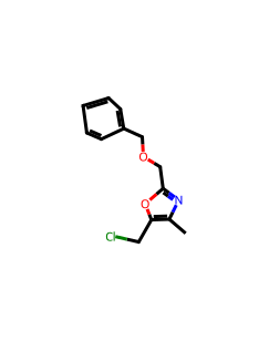 Cc1nc(COCc2ccccc2)oc1CCl